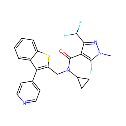 Cn1nc(C(F)F)c(C(=O)N(Cc2sc3ccccc3c2-c2ccncc2)C2CC2)c1F